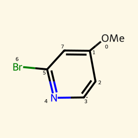 COc1c[c]nc(Br)c1